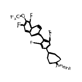 CCCCCC1CCC(c2cc(F)c(-c3ccc4c(F)c(OC(F)(F)F)c(F)cc4c3)c(F)c2)CC1